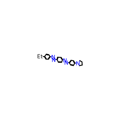 CCc1ccc(N=Nc2ccc(N=Nc3ccc(N4CCCC4)cc3)cc2)cc1